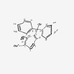 Brc1cccc(C(Br)(c2ccccc2)c2ccccc2)c1Br